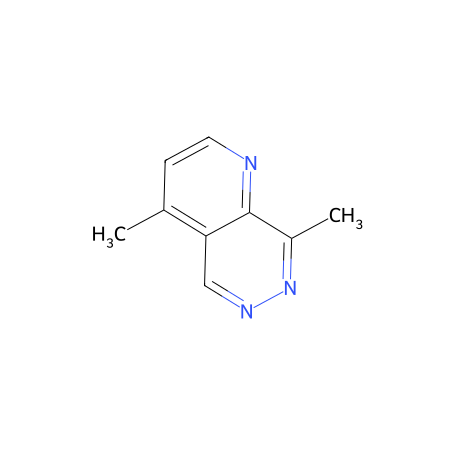 Cc1ccnc2c(C)nncc12